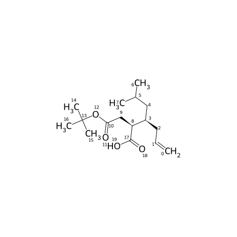 C=CC[C@H](CC(C)C)[C@H](CC(=O)OC(C)(C)C)C(=O)O